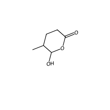 CC1CCC(=O)OC1O